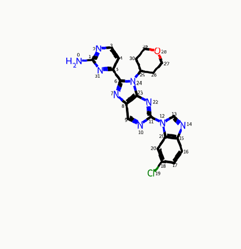 Nc1nccc(-c2nc3cnc(-n4cnc5ccc(Cl)cc54)nc3n2C2CCOCC2)n1